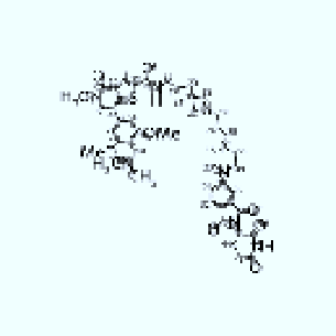 COc1cc(-c2cn(C)c(=O)c3cc(C(=O)NCC4CC5(C4)CN(CCCN4CCN(c6ccc7c(c6)C(=O)N(C6CCC(=O)NC6=O)C7=O)CC4)C5)sc23)cc(OC)c1CN(C)C